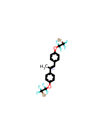 C/C(=C\c1ccc(OC(F)(F)C(F)(F)Br)cc1)c1ccc(OC(F)(F)C(F)(F)Br)cc1